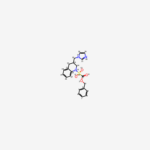 O=C(OCc1ccccc1)S(=O)(=O)N1CC(Cn2ccnc2)Cc2ccccc21